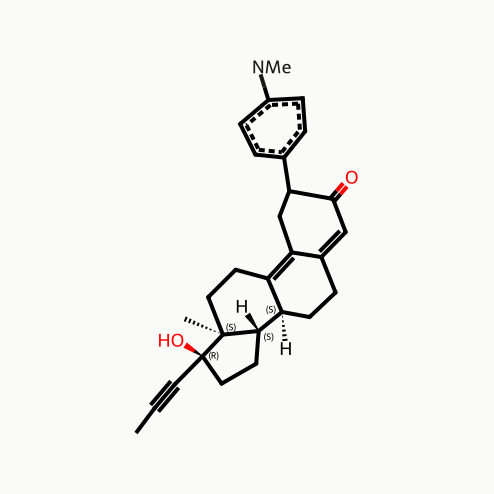 CC#C[C@@]1(O)CC[C@H]2[C@@H]3CCC4=CC(=O)C(c5ccc(NC)cc5)CC4=C3CC[C@@]21C